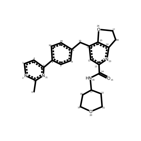 Cc1nccc(-c2ccc(Cc3cc(C(=O)NC4CCOCC4)nc4c3OCC4)cc2)n1